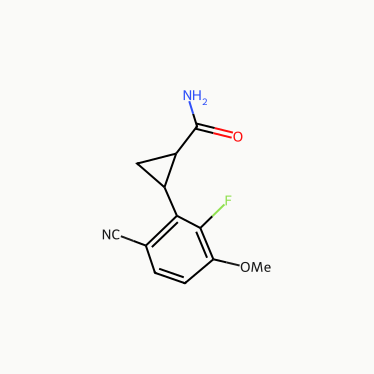 COc1ccc(C#N)c(C2CC2C(N)=O)c1F